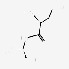 CC[C@@H](C)[C@@H](NC(=O)[C@@H](N)CC(=O)O)C(=O)O